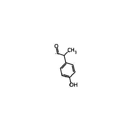 CC([C]=O)c1ccc(O)cc1